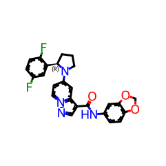 O=C(Nc1ccc2c(c1)OCO2)c1cnn2ccc(N3CCC[C@@H]3c3cc(F)ccc3F)cc12